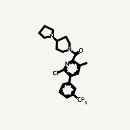 Cc1cc(-c2cccc(C(F)(F)F)c2)c(Cl)nc1C(=O)N1CCC(N2CCCC2)CC1